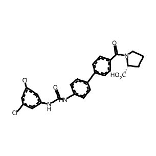 O=C(Nc1ccc(-c2ccc(C(=O)N3CCC[C@@H]3C(=O)O)cc2)cc1)Nc1cc(Cl)cc(Cl)c1